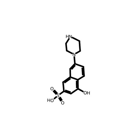 O=S(=O)(O)c1cc(O)c2ccc(N3CCNCC3)cc2c1